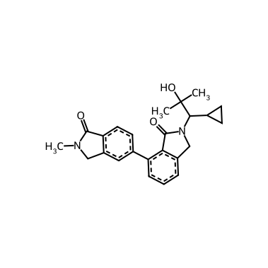 CN1Cc2cc(-c3cccc4c3C(=O)N(C(C3CC3)C(C)(C)O)C4)ccc2C1=O